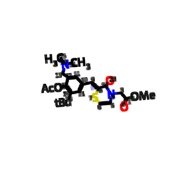 COC(=O)CN1C=CS/C(=C\c2cc(CN(C)C)c(OC(C)=O)c(C(C)(C)C)c2)C1=O